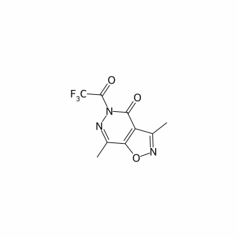 Cc1nn(C(=O)C(F)(F)F)c(=O)c2c(C)noc12